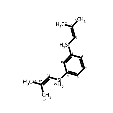 CC(C)=C[SiH2]c1cccc([SiH2]C=C(C)C)c1